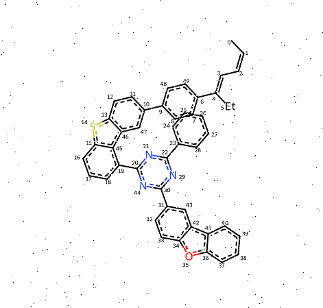 C/C=C\C=C(/CC)c1ccc(-c2ccc3sc4cccc(-c5nc(-c6ccccc6)nc(-c6ccc7oc8ccccc8c7c6)n5)c4c3c2)cc1